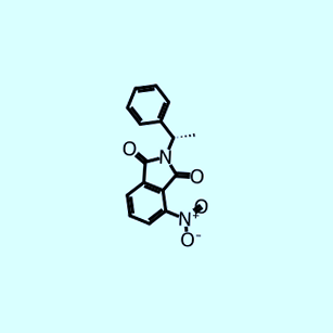 C[C@@H](c1ccccc1)N1C(=O)c2cccc([N+](=O)[O-])c2C1=O